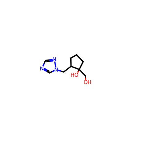 OCC1(O)CCCC1Cn1cncn1